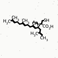 C/C=C(\C)CC(/C=C(\C)CC/C=C(\C)CCC=C(C)C)N(C(C)=O)[C@@H](CS)C(=O)O